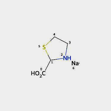 O=C(O)C1NCCS1.[Na]